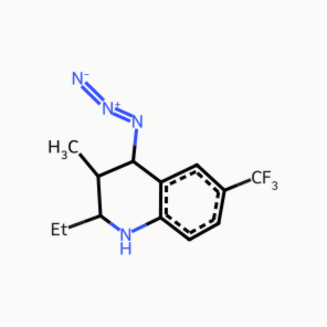 CCC1Nc2ccc(C(F)(F)F)cc2C(N=[N+]=[N-])C1C